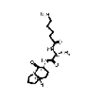 C[C@@H](NC(=O)CCCCN)C(=O)N[C@@H]1CC[C@@H]2CCCN2C1=O